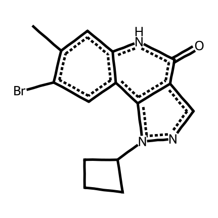 Cc1cc2[nH]c(=O)c3cnn(C4CCC4)c3c2cc1Br